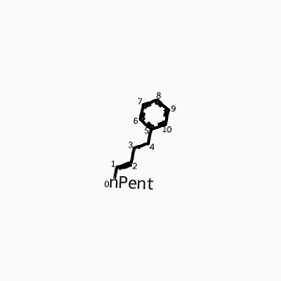 CCCCCC=C[CH]Cc1ccccc1